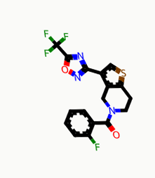 O=C(c1ccccc1F)N1CCc2scc(-c3noc(C(F)(F)F)n3)c2C1